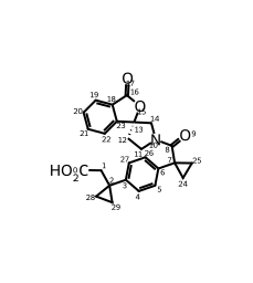 O=C(O)CC1(c2ccc(C3(C(=O)N4CC[C@@]5(C4)OC(=O)c4ccccc45)CC3)cc2)CC1